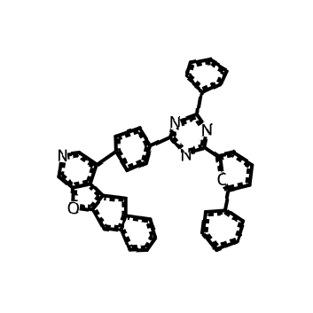 c1ccc(-c2cccc(-c3nc(-c4ccccc4)nc(-c4ccc(-c5cncc6oc7cc8ccccc8cc7c56)cc4)n3)c2)cc1